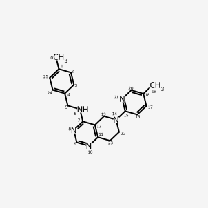 Cc1ccc(CNc2ncnc3c2CN(c2ccc(C)cn2)CC3)cc1